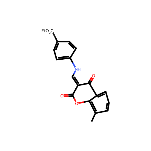 CCOC(=O)c1ccc(NC=C2C(=O)Oc3c(C)cccc3C2=O)cc1